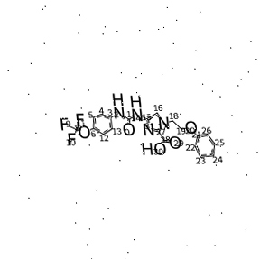 O=C(Nc1ccc(OC(F)(F)F)cc1)Nc1cn(CCOc2ccccc2)c(C(=O)O)n1